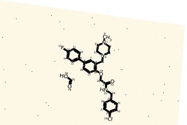 CN1CCN(Cc2cc(-c3ccc(F)cc3)ccc2OCC(=O)NCc2ccc(Cl)cc2)CC1.O=CO